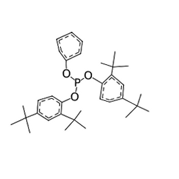 CC(C)(C)c1ccc(OP(Oc2ccccc2)Oc2ccc(C(C)(C)C)cc2C(C)(C)C)c(C(C)(C)C)c1